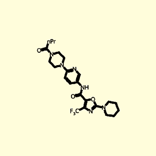 CCCC(=O)N1CCN(c2ccc(NC(=O)c3oc(N4CCCCC4)nc3C(F)(F)F)cn2)CC1